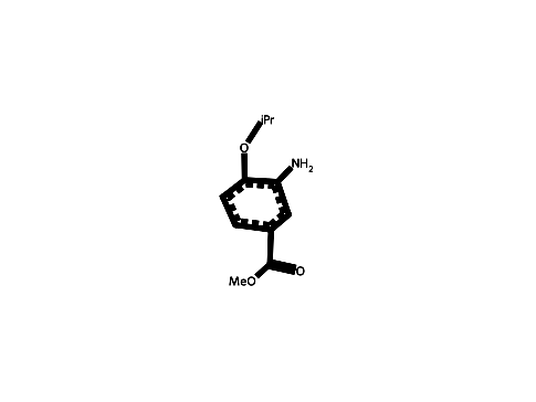 COC(=O)c1ccc(OC(C)C)c(N)c1